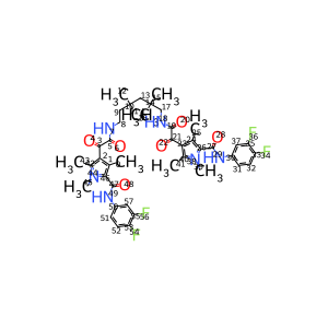 Cc1c(C(=O)C(=O)NCCC(C)(C)CC(C)(C)CNC(=O)C(=O)c2c(C)c(C(=O)Nc3ccc(F)c(F)c3)n(C)c2C)c(C)n(C)c1C(=O)Nc1ccc(F)c(F)c1